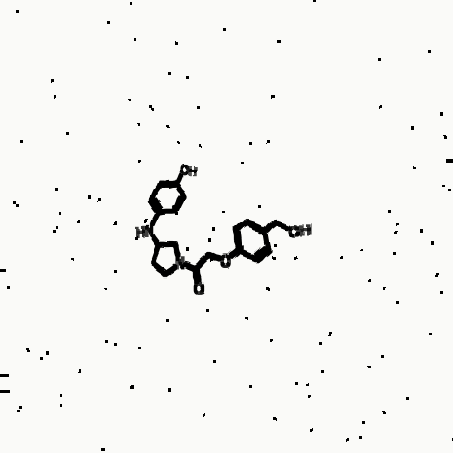 O=C(COc1ccc(CO)cc1)N1CCC(Nc2ccc(O)cc2)C1